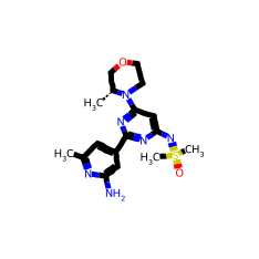 Cc1cc(-c2nc(N=S(C)(C)=O)cc(N3CCOC[C@H]3C)n2)cc(N)n1